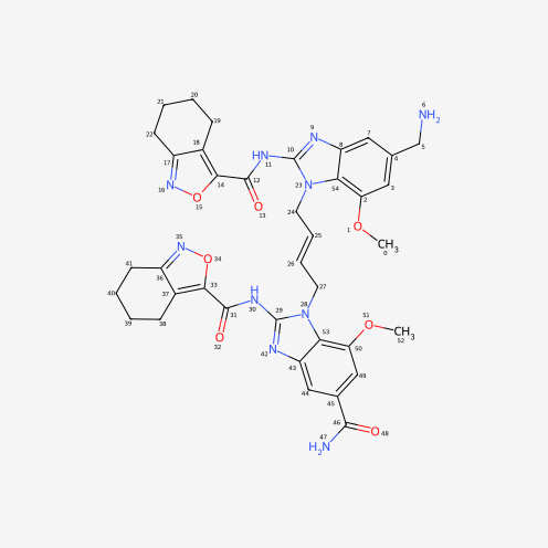 COc1cc(CN)cc2nc(NC(=O)c3onc4c3CCCC4)n(C/C=C/Cn3c(NC(=O)c4onc5c4CCCC5)nc4cc(C(N)=O)cc(OC)c43)c12